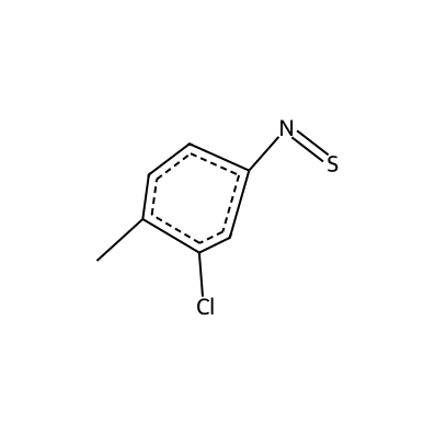 Cc1ccc(N=S)cc1Cl